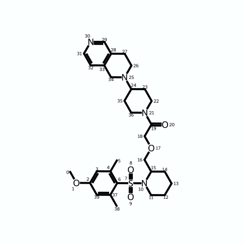 COc1cc(C)c(S(=O)(=O)N2CCCCC2COCC(=O)N2CCC(N3CCc4cnccc4C3)CC2)c(C)c1